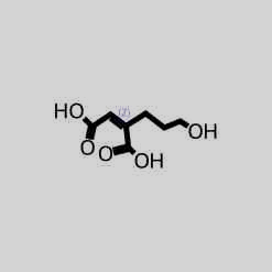 O=C(O)/C=C(/CCCO)C(=O)O